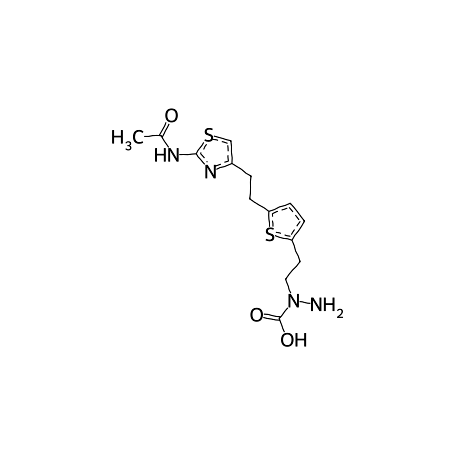 CC(=O)Nc1nc(CCc2ccc(CCN(N)C(=O)O)s2)cs1